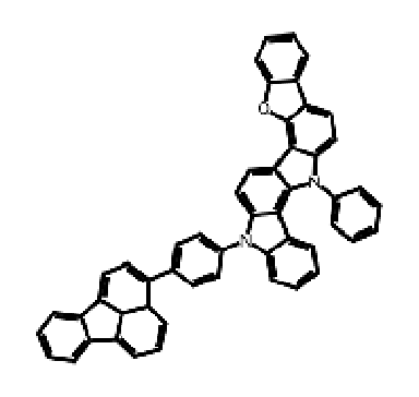 C1=CC2C(c3ccc(-n4c5ccccc5c5c4ccc4c6c7oc8ccccc8c7ccc6n(-c6ccccc6)c45)cc3)=CC=C3c4ccccc4C(=C1)C32